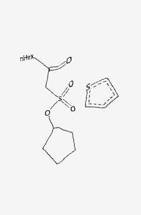 CCCCCCC(=O)CS(=O)(=O)OC1CCCC1.c1ccsc1